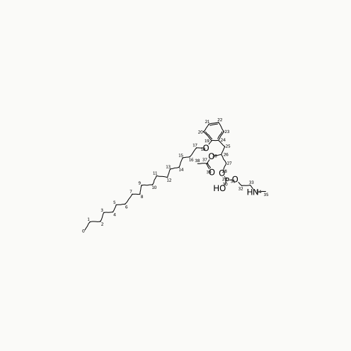 CCCCCCCCCCCCCCCCCCOc1ccccc1CC(COP(O)OCCNC)OC(C)=O